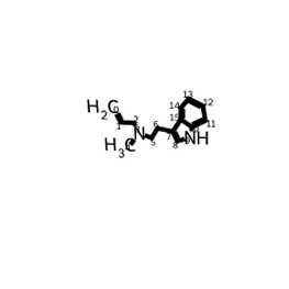 C=CCN(C)CCc1c[nH]c2ccccc12